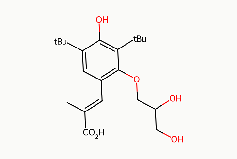 CC(=Cc1cc(C(C)(C)C)c(O)c(C(C)(C)C)c1OCC(O)CO)C(=O)O